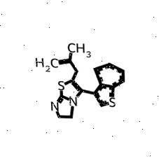 C=C(C)CC1=C(c2csc3ccccc23)N2CCN=C2S1